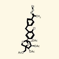 CCON=C(C)c1ccc(Cc2cc([C@]34OCC(COC(C)=O)(O3)[C@@H](OC(C)=O)[C@H](OC(C)=O)[C@H]4OC(C)=O)ccc2Cl)cc1